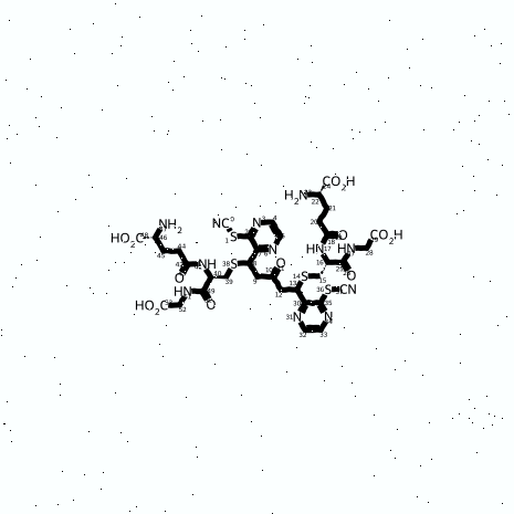 N#CSc1nccnc1C(CC(=O)CC(SC[C@H](NC(=O)CC[C@H](N)C(=O)O)C(=O)NCC(=O)O)c1nccnc1SC#N)SC[C@H](NC(=O)CC[C@@H](N)C(=O)O)C(=O)NCC(=O)O